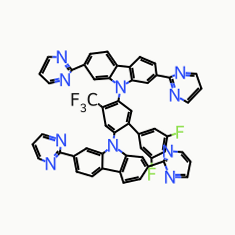 Fc1cc(F)cc(-c2cc(-n3c4cc(-c5ncccn5)ccc4c4ccc(-c5ncccn5)cc43)c(C(F)(F)F)cc2-n2c3cc(-c4ncccn4)ccc3c3ccc(-c4ncccn4)cc32)c1